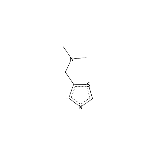 CN(C)Cc1[c]ncs1